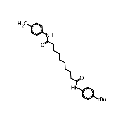 [CH2]c1ccc(NC(=O)CCCCCCCCC(=O)Nc2ccc(C(C)(C)C)cc2)cc1